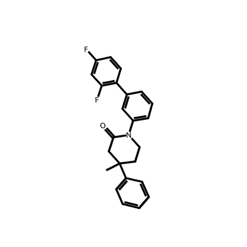 CC1(c2ccccc2)CCN(c2cccc(-c3ccc(F)cc3F)c2)C(=O)C1